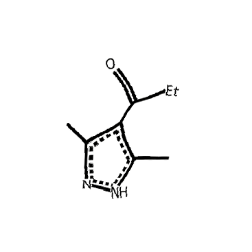 CCC(=O)c1c(C)n[nH]c1C